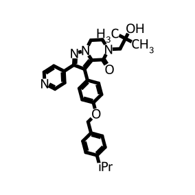 CC(C)c1ccc(COc2ccc(-c3c(-c4ccncc4)nn4c3C(=O)N(CC(C)(C)O)CC4)cc2)cc1